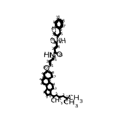 CC(C)CCCC(C)C1CCC2C1CCC1C3CC[C@H](OCCCNC(=O)CCC(=O)NC(C=O)Cc4ccccc4)CC3=CCC12